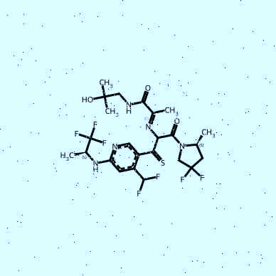 C/C(=N\C(C(=O)N1CC(F)(F)C[C@@H]1C)C(=S)c1cnc(N[C@@H](C)C(F)(F)F)cc1C(F)F)C(=O)NCC(C)(C)O